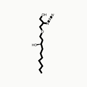 CCCCCCC[C@@H](O)CCOCC(CO)N=[N+]=[N-]